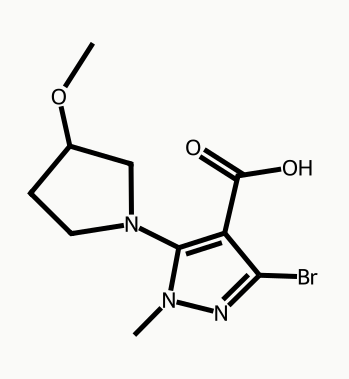 COC1CCN(c2c(C(=O)O)c(Br)nn2C)C1